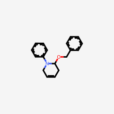 C1=CCN(c2ccccc2)C(OCc2ccccc2)C1